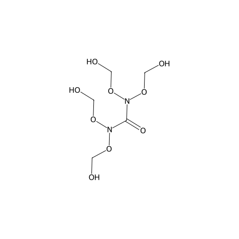 O=C(N(OCO)OCO)N(OCO)OCO